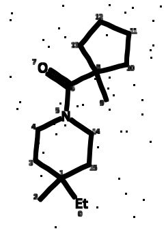 CCC1(C)CCN(C(=O)C2(C)CCCC2)CC1